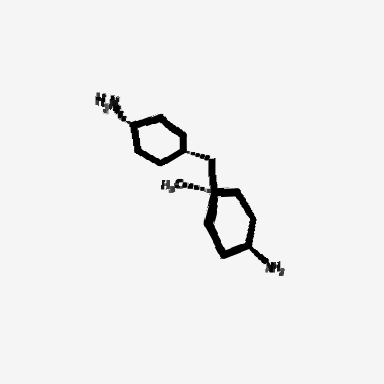 C[C@]1(C[C@H]2CC[C@@H](N)CC2)CC[C@@H](N)CC1